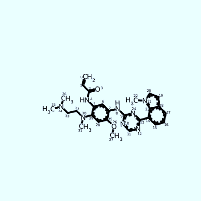 C=CC(=O)Nc1cc(Nc2ncnc(-c3cccc4ccn(C)c34)n2)c(OC)cc1N(C)CCN(C)C